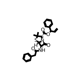 C=CC(OC(=O)[C@@H]1N2C(=O)[C@@H](NC(=O)Cc3ccccc3)[C@H]2SC1(C)C)c1ccccc1